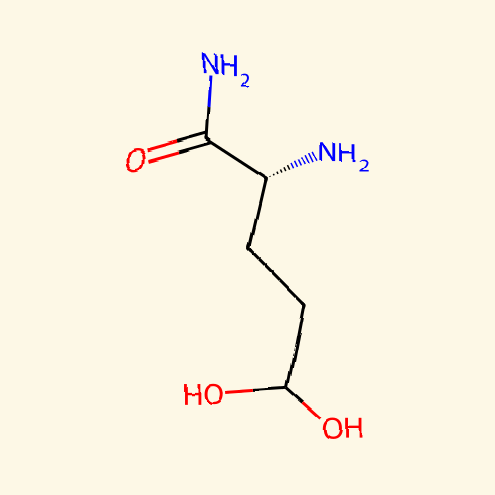 NC(=O)[C@H](N)CCC(O)O